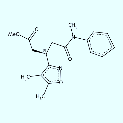 COC(=O)C[C@@H](CC(=O)N(C)c1ccccc1)c1noc(C)c1C